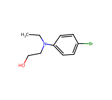 CCN(CCO)c1ccc(Br)cc1